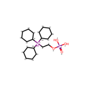 O=P(O)(O)OCC[PH](C1CCCCC1)(C1CCCCC1)C1CCCCC1